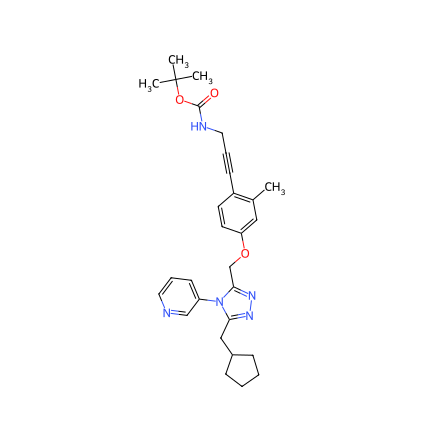 Cc1cc(OCc2nnc(CC3CCCC3)n2-c2cccnc2)ccc1C#CCNC(=O)OC(C)(C)C